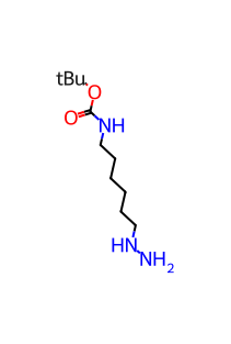 CC(C)(C)OC(=O)NCCCCCCNN